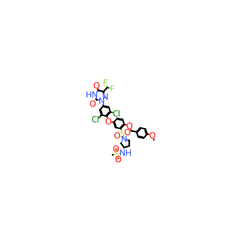 COc1ccc(COc2ccc(Oc3c(Cl)cc(-n4nc(C(F)F)c(=O)[nH]c4=O)cc3Cl)cc2S(=O)(=O)N2CC[C@H](NS(C)(=O)=O)C2)cc1